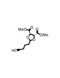 C#CCCCC1O[C@@H](C(=O)OC)[C@H](C(=O)OC)O1